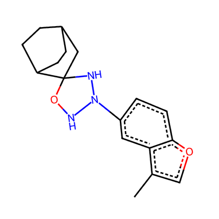 Cc1coc2ccc(N3NOC4(CC5CCC4CC5)N3)cc12